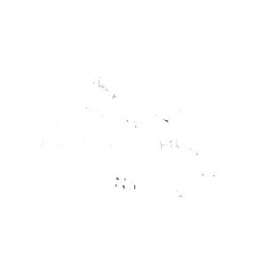 O=C(NN1CCCC1=O)[C@@H]1CC[C@@H]2CN1C(=O)N2OS(=O)(=O)O.[Na]